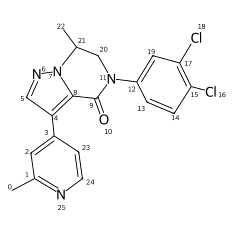 Cc1cc(-c2cnn3c2C(=O)N(c2ccc(Cl)c(Cl)c2)CC3C)ccn1